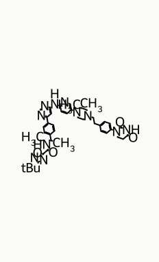 Cc1cc(-c2cc(Nc3ccc(N4CCN(CCc5ccc(N6CCC(=O)NC6=O)cc5)CC4(C)C)cn3)ncn2)ccc1C(C)NC(=O)c1nc(C(C)(C)C)no1